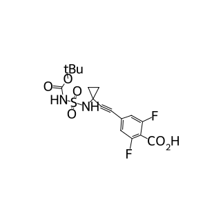 CC(C)(C)OC(=O)NS(=O)(=O)NC1(C#Cc2cc(F)c(C(=O)O)c(F)c2)CC1